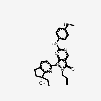 C=CCn1c(=O)c2cnc(Nc3ccc(BC)cc3)nc2n1-c1ccc2c(n1)[C@@](O)(CC)CC2